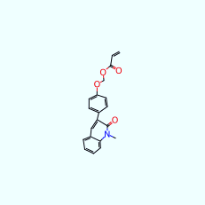 C=CC(=O)OCOc1ccc(-c2cc3ccccc3n(C)c2=O)cc1